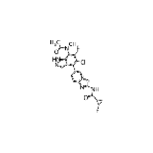 CC(=O)N(C)c1c(F)c(Cl)c(-c2ccc3nc(NC(=O)C4CC4F)cn3c2)c2cn[nH]c12